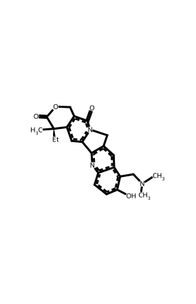 CC[C@@]1(C)C(=O)OCc2c1cc1n(c2=O)Cc2cc3c(CN(C)C)c(O)ccc3nc2-1